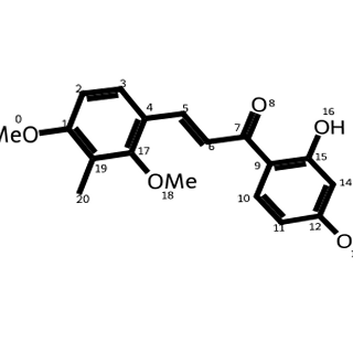 COc1ccc(C=CC(=O)c2ccc(O)cc2O)c(OC)c1C